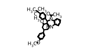 COc1ccc(C2CC(=O)C3=C(C2)Nc2ccccc2N(C(C)=O)C3c2ccc(C(C)(C)C)cc2)cc1